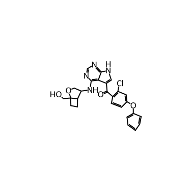 O=C(c1ccc(Oc2ccccc2)cc1Cl)c1c[nH]c2ncnc(NC3COC4(CO)CCC34)c12